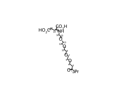 CC(C)C(=O)CCOCCOCCOCCOCCNC(CCC(=O)O)C(=O)O